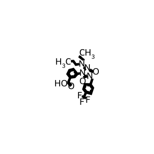 CCCN(CCC)c1nc(=O)n(Cc2ccc(C(F)(F)F)cc2)c(=O)n1-c1cccc(C(=O)O)c1